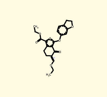 CCO/C=C1\CCc2c(C(=O)OCC)sc(Oc3ccc4c(c3)OCC4)c2C1=O